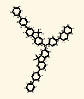 CC1(C)c2cc(-c3ccc(-c4ccccc4)cc3)ccc2-c2ccc(N(c3ccc(-c4ccc5ccccc5c4)cc3)c3ccc4c(c3)C(C)(C)c3cc(-c5ccc(-c6ccccc6)cc5)ccc3-4)cc21